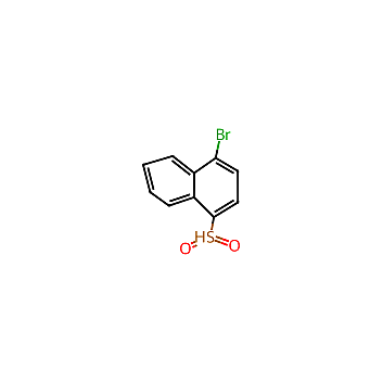 O=[SH](=O)c1ccc(Br)c2ccccc12